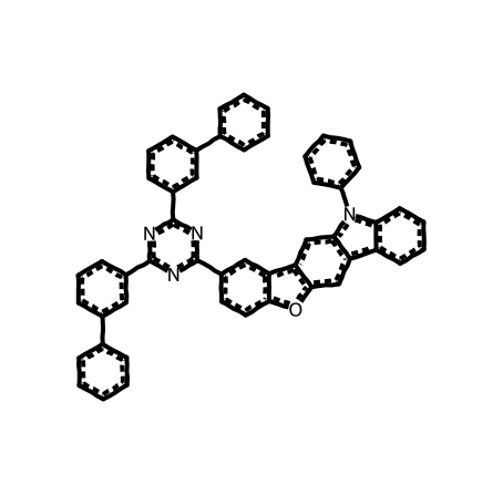 c1ccc(-c2cccc(-c3nc(-c4cccc(-c5ccccc5)c4)nc(-c4ccc5oc6cc7c8ccccc8n(-c8ccccc8)c7cc6c5c4)n3)c2)cc1